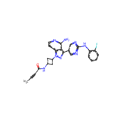 CC#CC(=O)NC1CC(n2nc(-c3cnc(Nc4ccccc4F)nc3)c3c(N)nccc32)C1